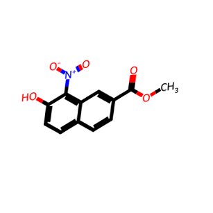 COC(=O)c1ccc2ccc(O)c([N+](=O)[O-])c2c1